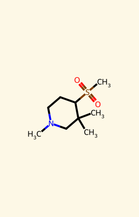 CN1CCC(S(C)(=O)=O)C(C)(C)C1